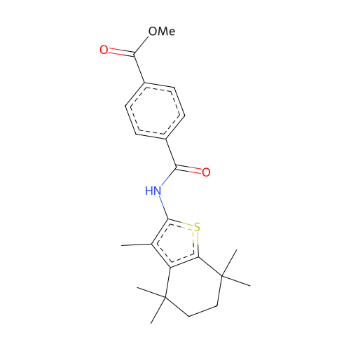 COC(=O)c1ccc(C(=O)Nc2sc3c(c2C)C(C)(C)CCC3(C)C)cc1